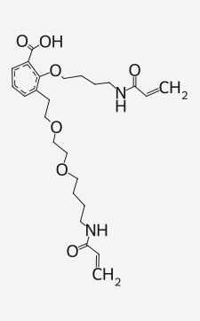 C=CC(=O)NCCCCOCCOCCc1cccc(C(=O)O)c1OCCCCNC(=O)C=C